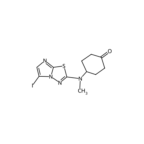 CN(c1nn2c(I)cnc2s1)C1CCC(=O)CC1